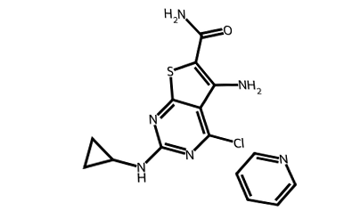 NC(=O)c1sc2nc(NC3CC3)nc(Cl)c2c1N.c1ccncc1